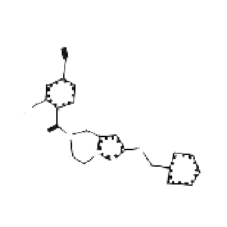 C#Cc1ccc(C(=O)N2CCn3nc(OCc4ccccc4)cc3C2)c(F)c1